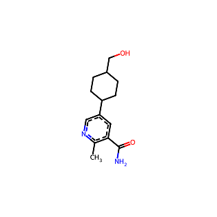 Cc1ncc(C2CCC(CO)CC2)cc1C(N)=O